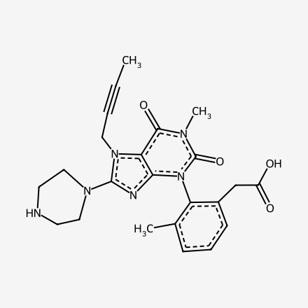 CC#CCn1c(N2CCNCC2)nc2c1c(=O)n(C)c(=O)n2-c1c(C)cccc1CC(=O)O